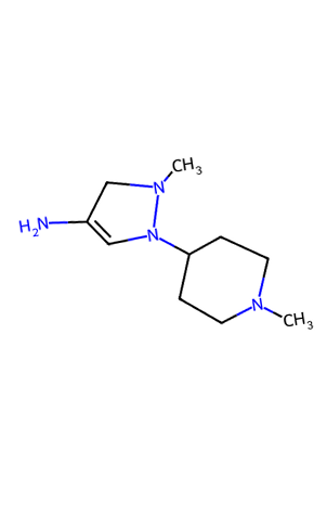 CN1CCC(N2C=C(N)CN2C)CC1